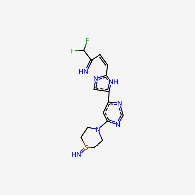 N=C(/C=C\c1ncc(-c2cc(N3CCS(=N)CC3)ncn2)[nH]1)C(F)F